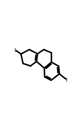 Ic1ccc2c(c1)CCC1=C2CCC(I)C1